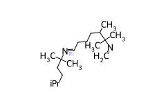 C=NC(C)(C)C(C)CCC/C=N/C(C)(C)CCC(C)C